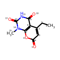 CCc1cc(=O)oc2c1c(=O)[nH]c(=O)n2C